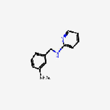 CC(=O)Nc1cccc(CNc2ccccn2)c1